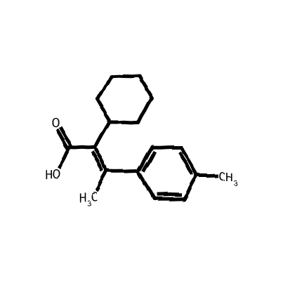 C/C(=C(\C(=O)O)C1CCCCC1)c1ccc(C)cc1